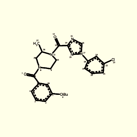 CC(C)COc1cccc(C(=O)N2CCN(C(=O)c3ncn(-c4cccc(Cl)c4)n3)C(C)C2)c1